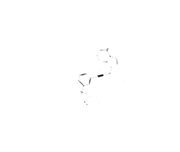 C[C@@H](C#Cc1cccc(C(C)(C)O[Si](C)(C)C)c1)[C@H]1CC[C@H]2C(=O)CCC[C@]12C